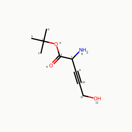 CC(C)(C)OC(=O)C(N)C#CCO